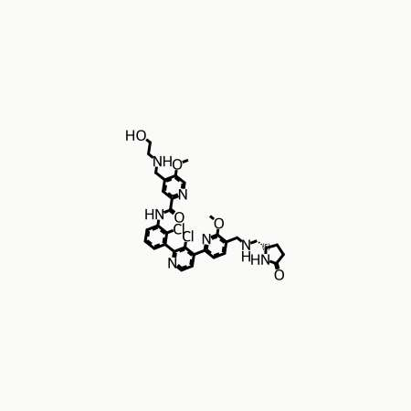 COc1cnc(C(=O)Nc2cccc(-c3nccc(-c4ccc(CNC[C@@H]5CCC(=O)N5)c(OC)n4)c3Cl)c2Cl)cc1CNCCO